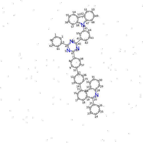 c1ccc(-c2nc(-c3ccc(-c4ccc(-c5cccc6c(-c7ccccc7)nc7ccccc7c56)cc4)cc3)nc(-c3cccc(-n4c5ccccc5c5ccccc54)c3)n2)cc1